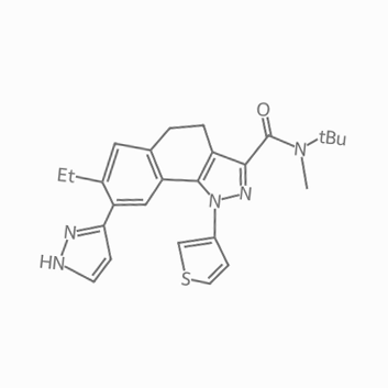 CCc1cc2c(cc1-c1cc[nH]n1)-c1c(c(C(=O)N(C)C(C)(C)C)nn1-c1ccsc1)CC2